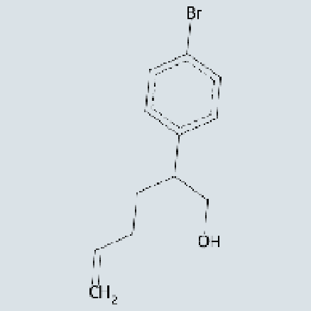 C=CCCC(CO)c1ccc(Br)cc1